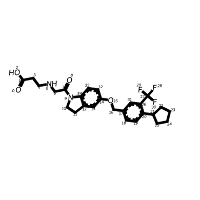 O=C(O)CCNCC(=O)N1CCc2cc(OCc3ccc(C4CCCC4)c(C(F)(F)F)c3)ccc21